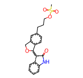 CS(=O)(=O)OCCCc1ccc2c(c1)COC2=C1C(=O)Nc2ccccc21